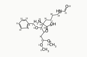 COC(CCC(OCc1ccccc1)C(N)(CCCCNC=O)C(=O)O)OC